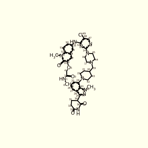 CNC(=O)COc1cc2cc(Nc3nc(N4CCN(CC5CCN(c6cccc7c(C8CCC(=O)NC8=O)nn(C)c67)CC5)CC4)ncc3Cl)ccc2n(C)c1=O